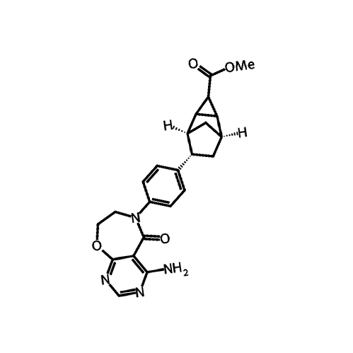 COC(=O)C1C2C1[C@H]1C[C@@H]2C[C@@H]1c1ccc(N2CCOc3ncnc(N)c3C2=O)cc1